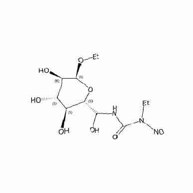 CCO[C@H]1O[C@H](C(O)NC(=O)N(CC)N=O)[C@@H](O)[C@H](O)[C@H]1O